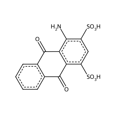 Nc1c(S(=O)(=O)O)cc(S(=O)(=O)O)c2c1C(=O)c1ccccc1C2=O